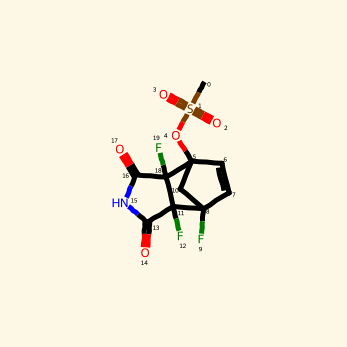 CS(=O)(=O)OC12C=CC(F)(C1)C1(F)C(=O)NC(=O)C21F